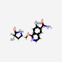 CC[C@@]1(F)C[C@@H](COc2nccc3cc(C(N)=O)c(OC)cc23)NC1=O